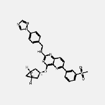 CS(=O)(=O)c1cccc(-c2ccc3nc(NCc4ccc(-n5cncn5)cc4)nc(O[C@H]4C[C@@H]5C[C@@H]5C4)c3n2)c1